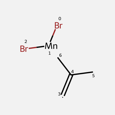 [Br][Mn][Br].[CH]=C(C)C